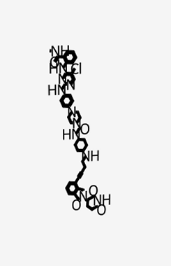 CNC(=O)c1ccccc1Nc1nc(Nc2ccc(N3CCN(C(=O)N[C@H]4CC[C@@H](NCCC#Cc5cccc6c5CN(C5CCC(=O)NC5=O)C6=O)CC4)CC3)cc2)ncc1Cl